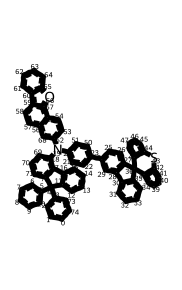 c1ccc(C2(c3ccccc3)c3ccccc3-c3c(N(c4ccc(-c5ccc6c(c5)-c5ccccc5C65c6ccccc6Sc6ccccc65)cc4)c4ccc5c(ccc6c7ccccc7oc56)c4)cccc32)cc1